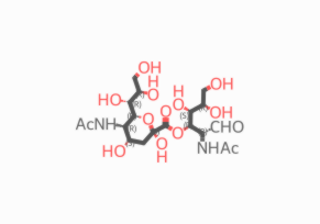 CC(=O)N[C@H]1[C@H]([C@H](O)[C@H](O)CO)O[C@](O)(C(=O)O[C@@H]([C@@H](O)[C@H](O)CO)[C@H](C=O)NC(C)=O)C[C@@H]1O